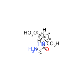 CC(N)C(=O)N[C@@]1(C(=O)O)CC[C@H]2C(C(=O)O)[C@H]21